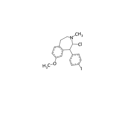 COc1ccc2c(c1)C(c1ccc(I)cc1)C(Cl)N(C)CC2